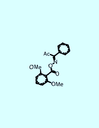 COc1cccc(OC)c1C(=O)O/N=C(\C(C)=O)c1ccccc1